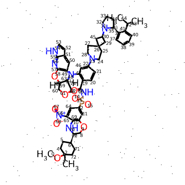 COC1(C)CCC([C@@H]2COc3cc(S(=O)(=O)NC(=O)c4ccc(N5CCC6(CC5)CC(N5CCC[C@H]5c5ccccc5C(C)C)C6)cc4N4c5cc6cc[nH]c6nc5O[C@H]5COC[C@@H]54)cc([N+](=O)[O-])c3N2)CC1